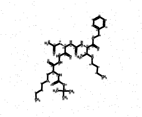 CCCCOC[C@H](NC(=O)OC(C)(C)C)C(=O)NNC(=O)[C@H](CC(N)=O)NC(=O)N[C@H](C(=O)OCc1ccccc1)C(C)OCCCC